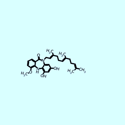 COc1cccc2c1Nc1c(O)cc(O)cc1N(C/C=C(\C)CC/C=C(\C)CCC=C(C)C)C2=O